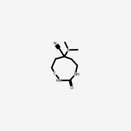 CN(C)C1(C#N)CCCNC(=O)NCC1